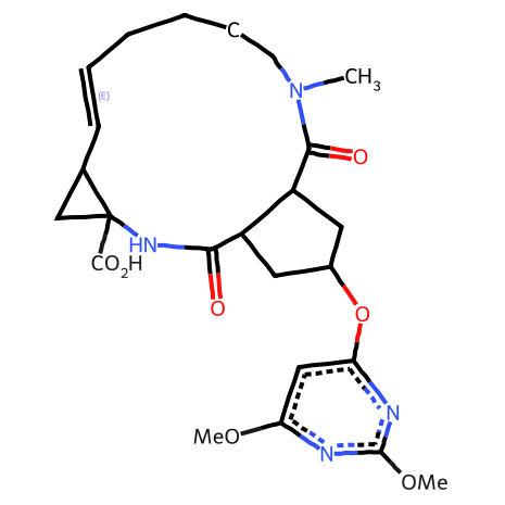 COc1cc(OC2CC3C(=O)NC4(C(=O)O)CC4/C=C/CCCCN(C)C(=O)C3C2)nc(OC)n1